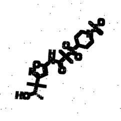 C=S(C)(=O)N1CCC(S(=O)(=O)C(C)(C)C(=O)Nc2cc(C(C)(C)[C@H](C)O)no2)CC1